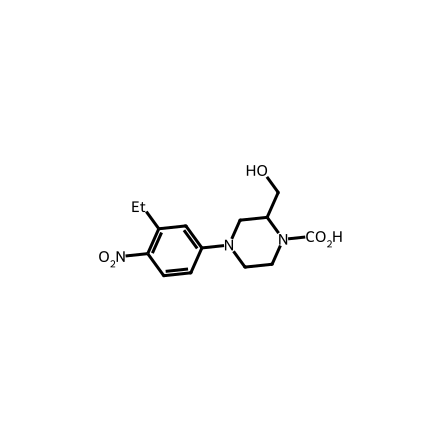 CCc1cc(N2CCN(C(=O)O)C(CO)C2)ccc1[N+](=O)[O-]